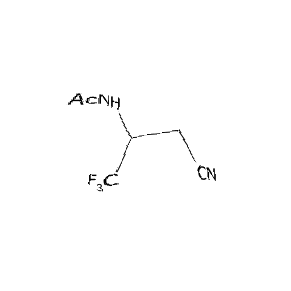 CC(=O)NC(CC#N)C(F)(F)F